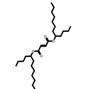 CCCCCCCC(CCCC)OC(=O)/C=C/C(=O)OC(CCCC)CCCCCCC